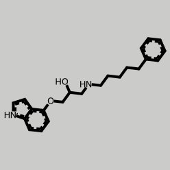 OC(CNCCCCCc1ccccc1)COc1cccc2[nH]ccc12